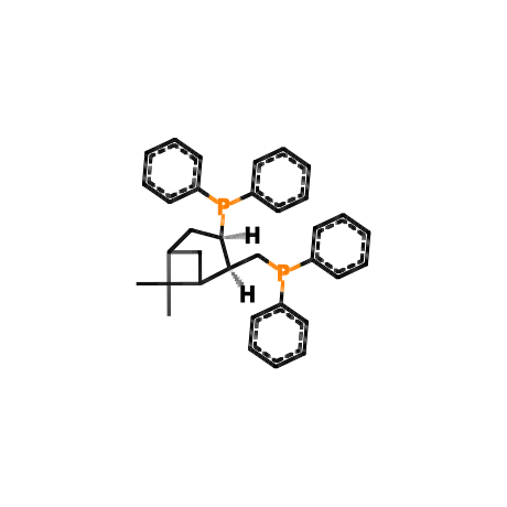 CC1(C)C2CC1[C@H](CP(c1ccccc1)c1ccccc1)[C@H](P(c1ccccc1)c1ccccc1)C2